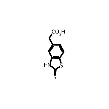 O=C(O)Cc1ccc2sc(=S)[nH]c2c1